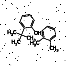 CC(C)(C)c1ccccc1O.Cc1ccccc1C